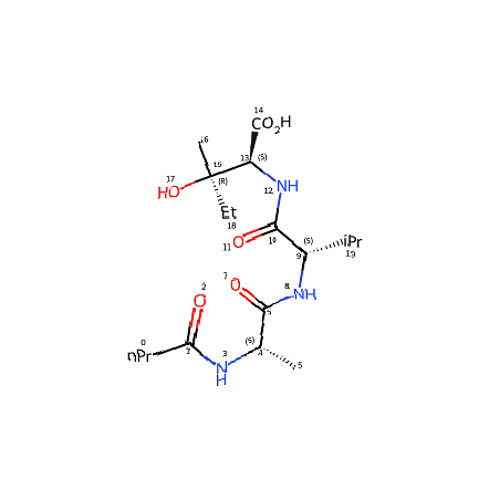 CCCC(=O)N[C@@H](C)C(=O)N[C@H](C(=O)N[C@H](C(=O)O)[C@](C)(O)CC)C(C)C